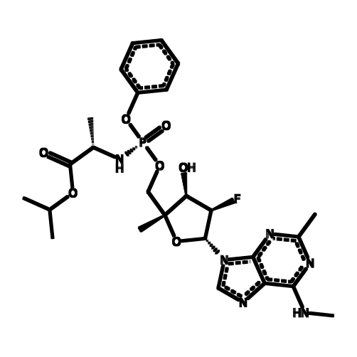 CNc1nc(C)nc2c1ncn2[C@@H]1O[C@](C)(CO[P@@](=O)(N[C@@H](C)C(=O)OC(C)C)Oc2ccccc2)[C@@H](O)[C@H]1F